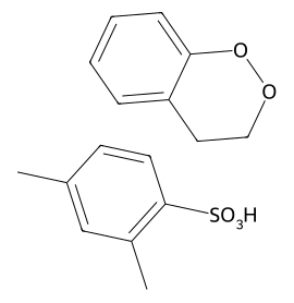 Cc1ccc(S(=O)(=O)O)c(C)c1.c1ccc2c(c1)CCOO2